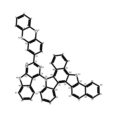 c1ccc2c(c1)Oc1ccc(-c3nc(-n4c5ccccc5c5c6c7ccc8ccccc8c7sc6c6ccccc6c54)c4c(n3)sc3ccccc34)cc1S2